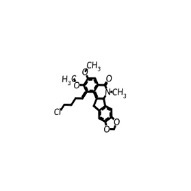 COc1cc2c(c(=CCCCCl)c1OC)=C1Cc3cc4c(cc3C1N(C)C2=O)OCO4